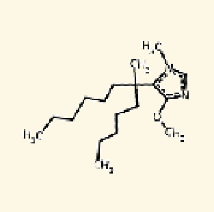 CCCCCCC(C)(CCCCC)c1c(OC)ncn1C